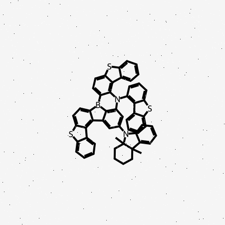 CC12CCCCC1(C)N(c1cc3c4c(c1)N(c1cccc5sc6ccccc6c15)c1c(ccc5sc6ccccc6c15)B4c1ccc4sc5ccccc5c4c1-3)c1ccccc12